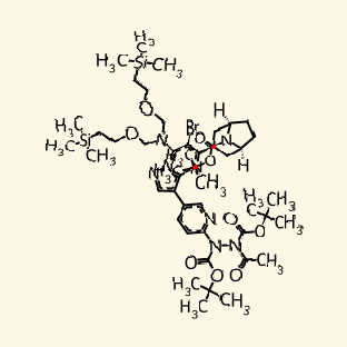 CC(=O)N(C(=O)OC(C)(C)C)N(C(=O)OC(C)(C)C)c1ccc(-c2cnn3c(N(COCC[Si](C)(C)C)COCC[Si](C)(C)C)c(Br)c([C@H]4C[C@H]5CC[C@@H](C4)N5C(=O)OC(C)(C)C)nc23)cn1